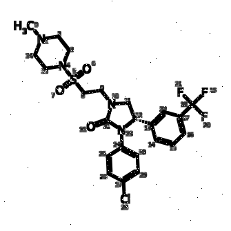 CN1CCN(S(=O)(=O)CCN2C[C@H](c3cccc(C(F)(F)F)c3)N(c3ccc(Cl)cc3)C2=O)CC1